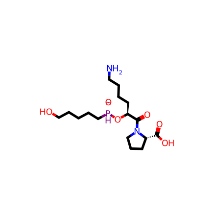 NCCCC[C@H](O[PH](=O)CCCCCO)C(=O)N1CCC[C@H]1C(=O)O